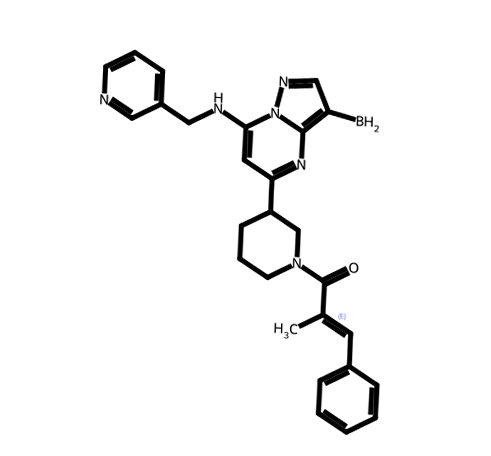 Bc1cnn2c(NCc3cccnc3)cc(C3CCCN(C(=O)/C(C)=C/c4ccccc4)C3)nc12